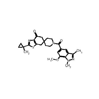 COc1cc(C(=O)N2CCC3(CC2)CC(=O)c2nc(C4(C)CC4)sc2C3)cc2c(C)nn(C)c12